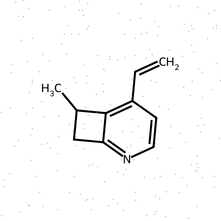 C=Cc1ccnc2c1C(C)C2